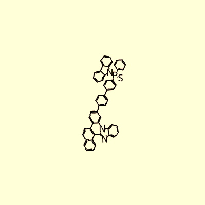 S=P(c1ccccc1)(c1ccc(-c2ccc(-c3ccc4c5ccc6ccccc6c5c5nc6ccccc6n5c4c3)cc2)cc1)n1c2ccccc2c2ccccc21